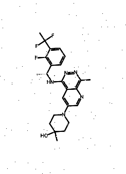 Cc1nnc(N[C@H](C)c2cccc(C(C)(F)F)c2F)c2cc(N3CCC(C)(O)CC3)cnc12